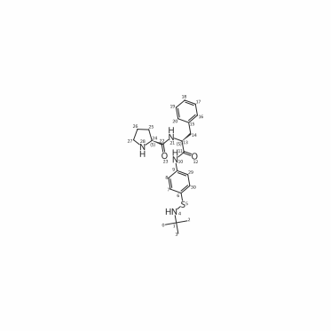 CC(C)(C)NSc1ccc(NC(=O)[C@H](Cc2ccccc2)NC(=O)[C@@H]2CCCN2)cc1